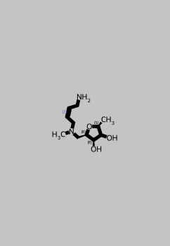 C[C@@H]1O[C@H](CN(C)C/C=C\CN)[C@H](O)C1O